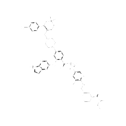 CCN(C)C(=O)N1CCOC(CNc2ncc(S(=O)(=O)NC(=O)c3ccc(N4CCN(CC5=C(c6ccc(Cl)cc6)CC(C)(C)CC5)CC4)cc3Oc3cnc4[nH]ccc4c3)cc2Cl)C1